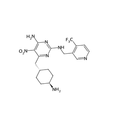 Nc1nc(NCc2cnccc2C(F)(F)F)nc(C[C@H]2CC[C@H](N)CC2)c1[N+](=O)[O-]